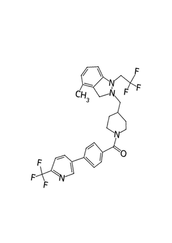 Cc1cccc2c1CN(CC1CCN(C(=O)c3ccc(-c4ccc(C(F)(F)F)nc4)cc3)CC1)N2CC(F)(F)F